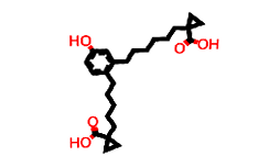 O=C(O)C1(CCCCCCc2cc(O)ccc2CCCCCC2(C(=O)O)CC2)CC1